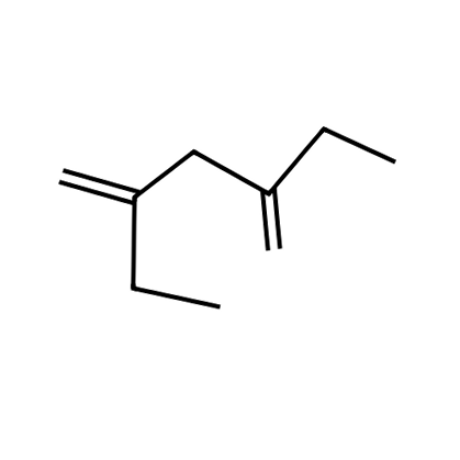 C=C(CC)CC(=C)CC